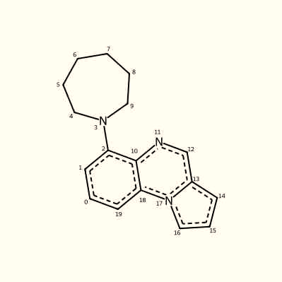 c1cc(N2CCCCCC2)c2ncc3cccn3c2c1